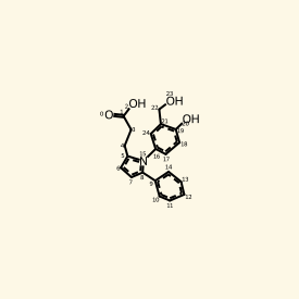 O=C(O)CCc1ccc(-c2ccccc2)n1-c1ccc(O)c(CO)c1